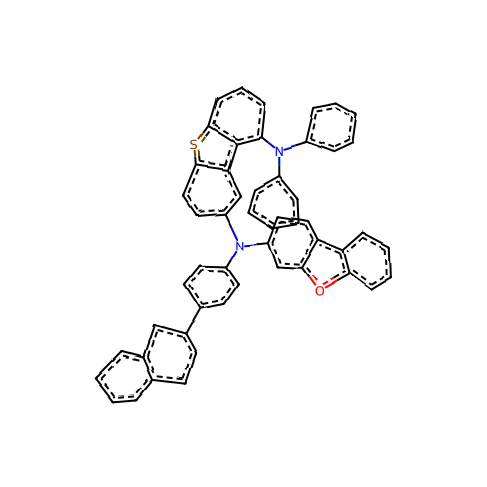 c1ccc(N(c2ccccc2)c2cccc3sc4ccc(N(c5ccc(-c6ccc7ccccc7c6)cc5)c5ccc6c(c5)oc5ccccc56)cc4c23)cc1